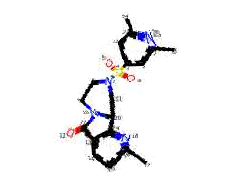 Cc1cc(S(=O)(=O)N2CCN3C(=O)c4ccc(C)nc4C3C2)cc(C)n1